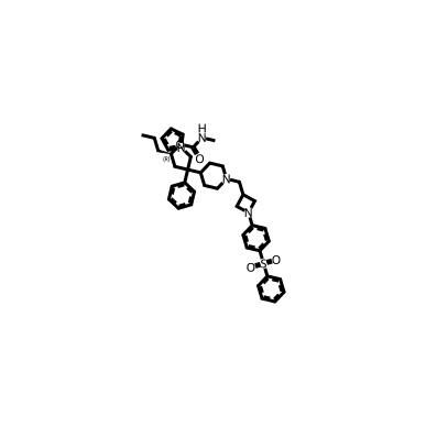 CCC[C@H](CC(Cn1cccc1)(c1ccccc1)C1CCN(CC2CN(c3ccc(S(=O)(=O)c4ccccc4)cc3)C2)CC1)OC(=O)NC